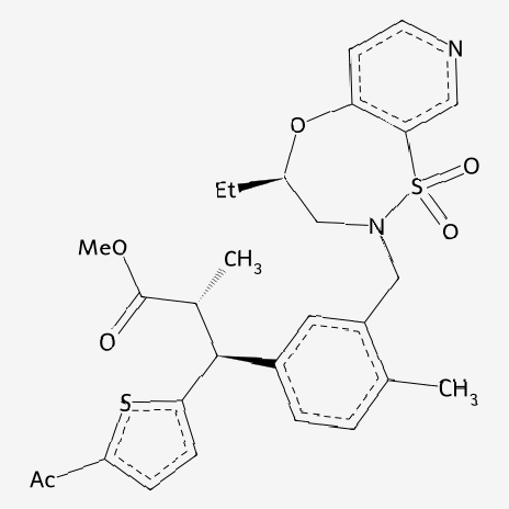 CC[C@@H]1CN(Cc2cc([C@@H](c3ccc(C(C)=O)s3)[C@@H](C)C(=O)OC)ccc2C)S(=O)(=O)c2cnccc2O1